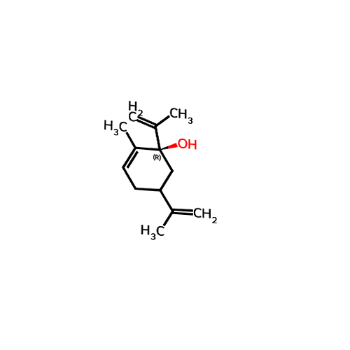 C=C(C)C1CC=C(C)[C@](O)(C(=C)C)C1